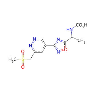 CC(NC(=O)O)c1nc(-c2cnnc(CS(C)(=O)=O)c2)no1